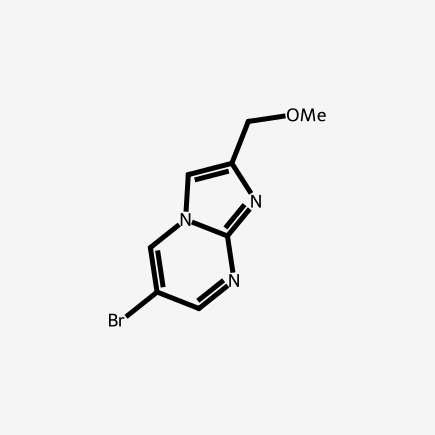 COCc1cn2cc(Br)cnc2n1